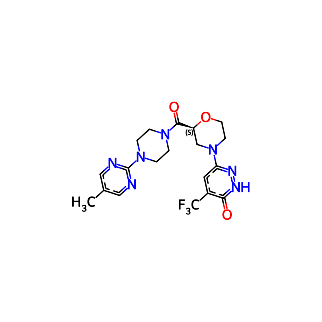 Cc1cnc(N2CCN(C(=O)[C@@H]3CN(c4cc(C(F)(F)F)c(=O)[nH]n4)CCO3)CC2)nc1